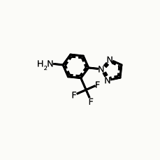 Nc1ccc(-n2nccn2)c(C(F)(F)F)c1